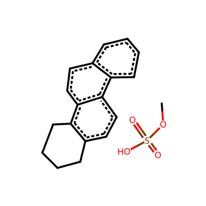 COS(=O)(=O)O.c1ccc2c(c1)ccc1c3c(ccc12)CCCC3